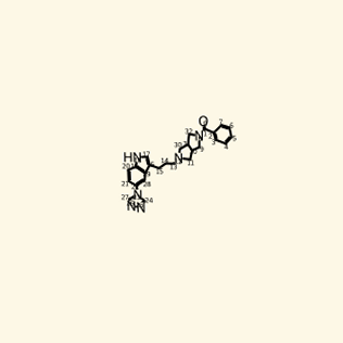 O=C(c1ccccc1)N1CC2CN(CCCc3c[nH]c4ccc(-n5cnnc5)cc34)CC2C1